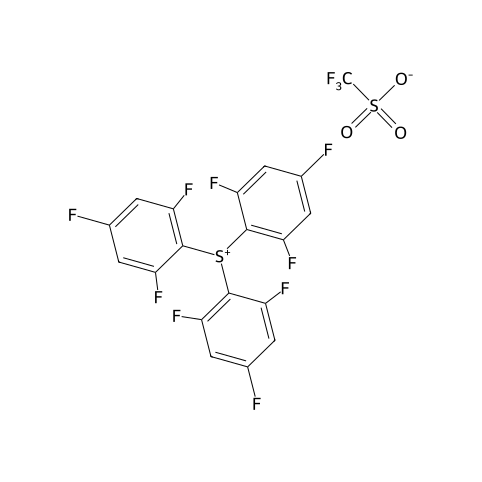 Fc1cc(F)c([S+](c2c(F)cc(F)cc2F)c2c(F)cc(F)cc2F)c(F)c1.O=S(=O)([O-])C(F)(F)F